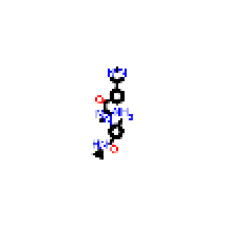 Cc1ccc(C(=O)NC2CC2)cc1-n1cnc(C(=O)c2cccc(-c3cncnc3)c2)c1N